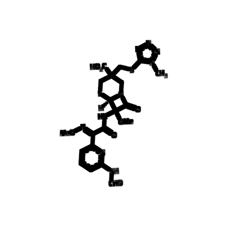 CON=C(C(=O)NC1(OC)C(=O)N2CC(CSc3nnnn3C)(C(=O)O)CS[C@@H]21)c1cccc(NC=O)n1